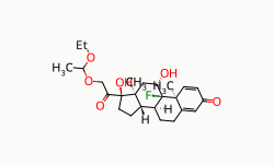 CCOC(C)OCC(=O)[C@@]1(O)CC[C@H]2[C@@H]3CCC4=CC(=O)C=C[C@]4(C)[C@@]3(F)[C@@H](O)C[C@@]21C